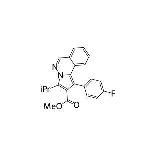 COC(=O)c1c(-c2ccc(F)cc2)c2c3ccccc3cnn2c1C(C)C